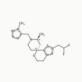 C[C@H]1C[C@@]2(CCN1Cc1ccnn1C)OCCc1cc(CC(F)F)sc12